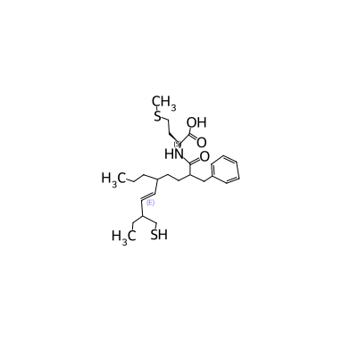 CCCC(/C=C/C(CC)CS)CCC(Cc1ccccc1)C(=O)N[C@@H](CCSC)C(=O)O